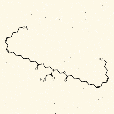 CCCCC/C=C\C/C=C\CCCCCCCC(=O)OCCN(CCOC(=O)CCCCCCC/C=C\C/C=C\CCCCC)C(=O)CN